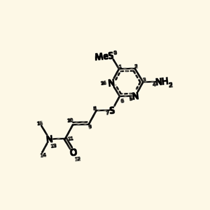 CSc1cc(N)nc(SCC=CC(=O)N(C)C)n1